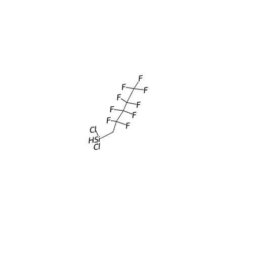 FC(F)(F)C(F)(F)C(F)(F)C(F)(F)C[SiH](Cl)Cl